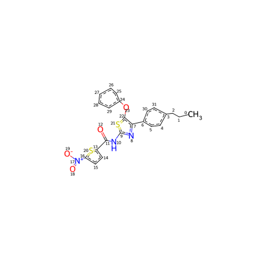 CCCc1ccc(-c2nc(NC(=O)c3ccc([N+](=O)[O-])s3)sc2Oc2ccccc2)cc1